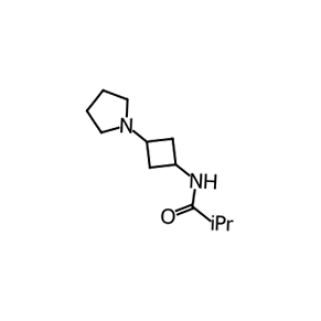 CC(C)C(=O)NC1CC(N2CCCC2)C1